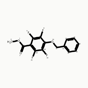 COC(=O)c1c(F)c(F)c(OCc2ccccc2)c(F)c1F